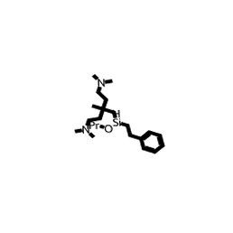 CC(C)O[SiH](CCc1ccccc1)CC(C)(CCN(C)C)CCN(C)C